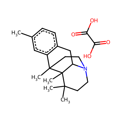 Cc1ccc2c(c1)C1(C)CCN3CCC(C)(C)C1(C)C3C2.O=C(O)C(=O)O